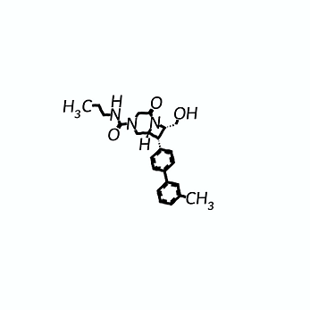 CCCNC(=O)N1CC(=O)N2[C@H](CO)[C@H](c3ccc(-c4cccc(C)c4)cc3)[C@@H]2C1